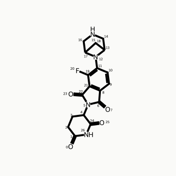 O=C1CCC(N2C(=O)c3ccc(N4C5CNCC4C5)c(F)c3C2=O)C(=O)N1